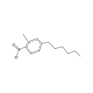 CCCCCCc1ccc([N+](=O)[O-])c(C)c1